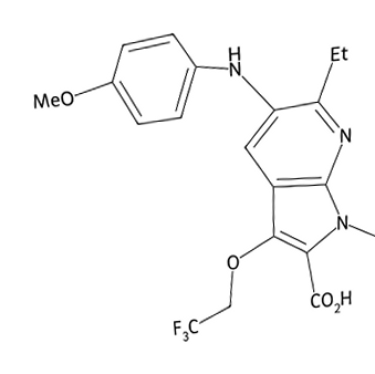 CCc1nc2c(cc1Nc1ccc(OC)cc1)c(OCC(F)(F)F)c(C(=O)O)n2C